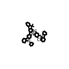 CC1(C)c2ccccc2-c2cc3c4cc5c6ccccc6n(-c6ccccc6)c5cc4n(-c4cc(C#N)c(-n5c6ccccc6c6ccccc65)cc4C#N)c3cc21